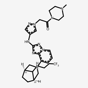 CN1CCN(C(=O)Cn2cc(Nc3nc4c(N5C[C@H]6CC[C@@H](C5)C6NCCC(F)(F)F)cccn4n3)cn2)CC1